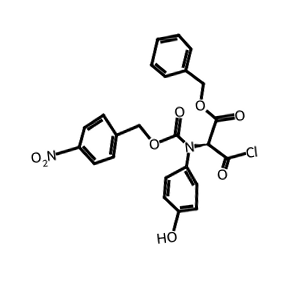 O=C(Cl)[C@H](C(=O)OCc1ccccc1)N(C(=O)OCc1ccc([N+](=O)[O-])cc1)c1ccc(O)cc1